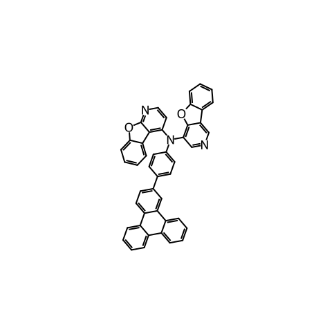 c1ccc2c(c1)oc1c(N(c3ccc(-c4ccc5c6ccccc6c6ccccc6c5c4)cc3)c3ccnc4oc5ccccc5c34)cncc12